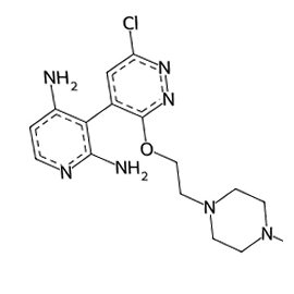 CN1CCN(CCOc2nnc(Cl)cc2-c2c(N)ccnc2N)CC1